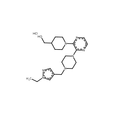 CCn1cc(CN2CCN(c3nccnc3N3CCC(CO)CC3)CC2)cn1.Cl